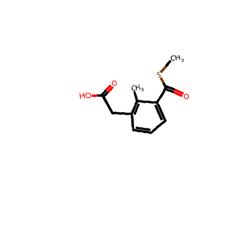 CSC(=O)c1cccc(CC(=O)O)c1C